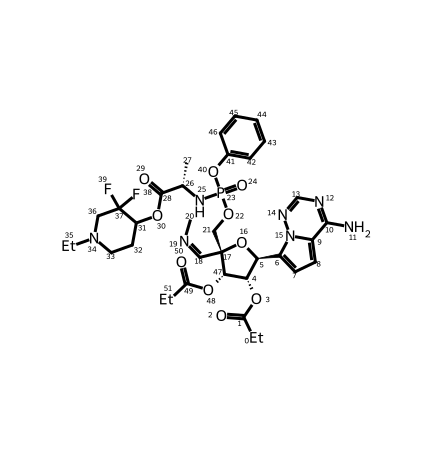 CCC(=O)O[C@H]1[C@H](c2ccc3c(N)ncnn23)O[C@](/C=N\C)(COP(=O)(N[C@@H](C)C(=O)OC2CCN(CC)CC2(F)F)Oc2ccccc2)[C@H]1OC(=O)CC